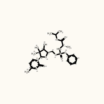 CC(C)OC(=O)[C@H](C)NP(=O)(OC[C@H]1O[C@@H](n2ccc(N)nc2=S)[C@](C)(O)C1O)Oc1ccccc1